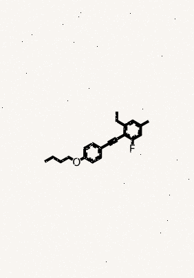 CCCCOc1ccc(C#Cc2c(F)cc(C)cc2CC)cc1